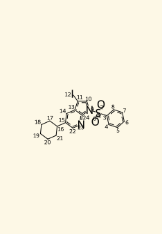 O=S(=O)(c1ccccc1)n1cc(I)c2cc(C3CCCCC3)cnc21